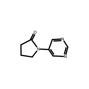 O=C1CCCN1c1cncnc1